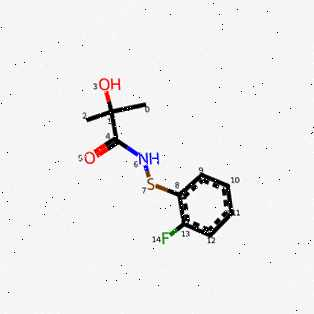 CC(C)(O)C(=O)NSc1ccccc1F